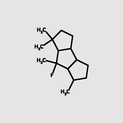 CC1CCC2C3CCC(C)(C)C3C(C)(F)C12